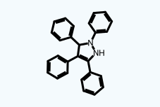 c1ccc(C2=C(c3ccccc3)C(c3ccccc3)N(c3ccccc3)N2)cc1